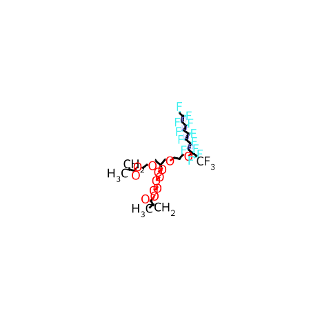 C=C(C)C(=O)OCCOCC(COCCCOC(F)(/C(F)=C(F)/C(F)=C(F)/C(F)=C(F)/C(F)=C(\F)CF)C(F)(F)C(F)(F)F)OOOOOOOC(=O)C(=C)C